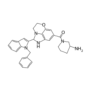 NC1CCCN(C(=O)c2cc3c4c(c2)OCCN4C(c2cc4ccccc4n2Cc2ccccc2)N3)C1